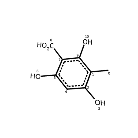 Cc1c(O)cc(O)c(C(=O)O)c1O